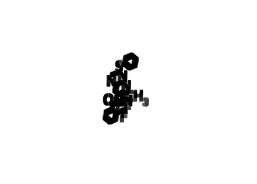 Cc1nc2nc(Sc3ccccc3)cnc2cc1NC(=O)c1ccccc1C(F)(F)F